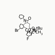 CC(C)(C)[Si](C)(C)OC(CCC1C(=O)N(c2ccccc2)C1c1ccc(Br)cc1CC(=O)O)c1ccc(F)cc1